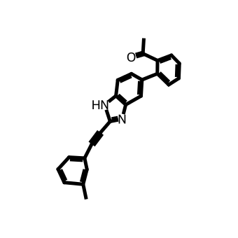 CC(=O)c1ccccc1-c1ccc2[nH]c(C#Cc3cccc(C)c3)nc2c1